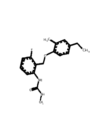 CCc1ccc(OCc2c(F)cccc2NC(=O)NC)c(C)c1